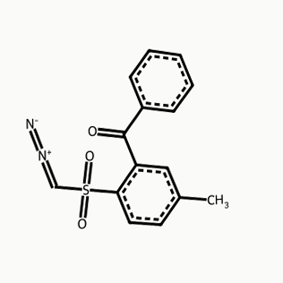 Cc1ccc(S(=O)(=O)C=[N+]=[N-])c(C(=O)c2ccccc2)c1